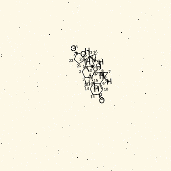 C[C@]12CC[C@H]3[C@@H]([C@@H]4C[C@@H]4C4=CC(=O)CC[C@@H]43)[C@H]1[C@H]1C[C@H]1C21CCC(=O)O1